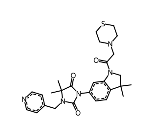 CC1(C)CN(C(=O)CN2CCSCC2)c2cc(N3C(=O)N(Cc4ccncc4)C(C)(C)C3=O)ccc21